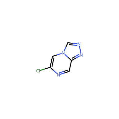 Clc1cn2cnnc2cn1